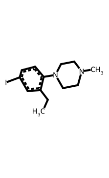 CCc1cc(I)ccc1N1CCN(C)CC1